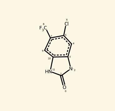 O=C1[N]c2cc(Cl)c(C(F)(F)F)cc2N1